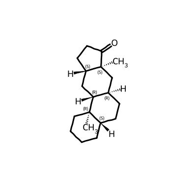 C[C@@]12CCCC[C@H]1CC[C@@H]1C[C@]3(C)C(=O)CC[C@H]3C[C@H]12